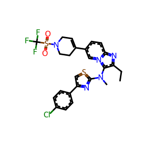 CCc1nc2ccc(C3=CCN(S(=O)(=O)C(F)(F)F)CC3)cn2c1N(C)c1nc(-c2ccc(Cl)cc2)cs1